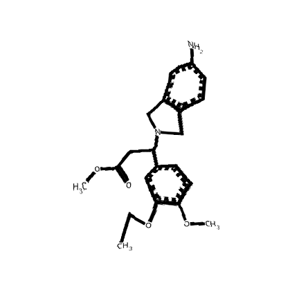 CCOc1cc(C(CC(=O)OC)N2Cc3ccc(N)cc3C2)ccc1OC